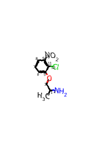 CC(N)COc1cccc([N+](=O)[O-])c1Cl